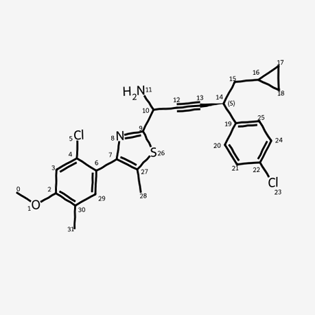 COc1cc(Cl)c(-c2nc(C(N)C#C[C@@H](CC3CC3)c3ccc(Cl)cc3)sc2C)cc1C